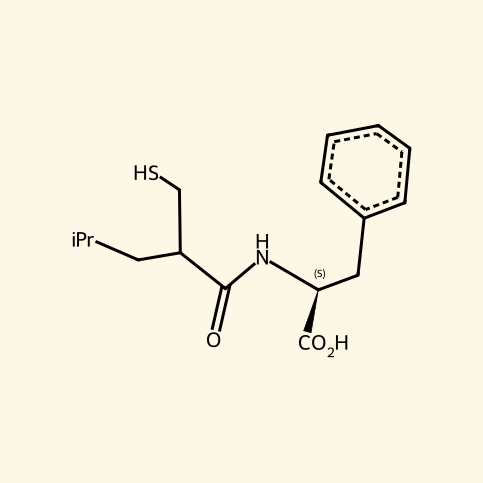 CC(C)CC(CS)C(=O)N[C@@H](Cc1ccccc1)C(=O)O